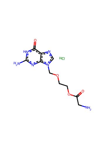 Cl.NCC(=O)OCCOCn1cnc2c(=O)[nH]c(N)nc21